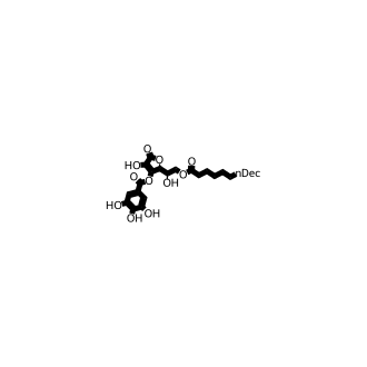 CCCCCCCCCCCCCCCC(=O)OC[C@H](O)[C@H]1OC(=O)C(O)=C1OC(=O)c1cc(O)c(O)c(O)c1